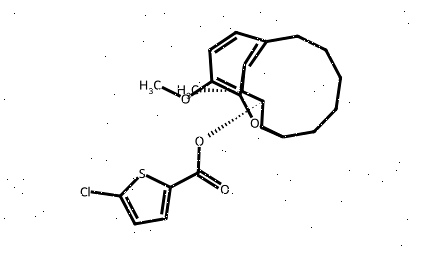 COc1ccc2c3c1OC(CCCCC2)C[C@@H](OC(=O)c1ccc(Cl)s1)[C@@H]3C